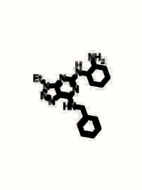 CCn1nnc2c(NCc3ccccc3)nc(NC3CCCCC3N)nc21